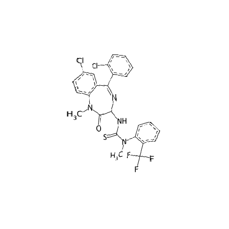 CN1C(=O)C(NC(=S)N(C)c2ccccc2C(F)(F)F)N=C(c2ccccc2Cl)c2cc(Cl)ccc21